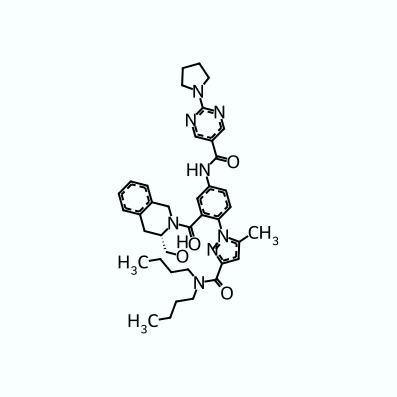 CCCCN(CCCC)C(=O)c1cc(C)n(-c2ccc(NC(=O)c3cnc(N4CCCC4)nc3)cc2C(=O)N2Cc3ccccc3C[C@H]2CO)n1